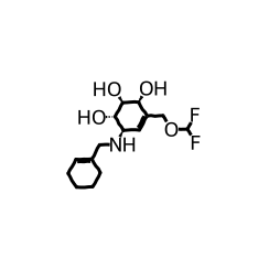 O[C@@H]1[C@@H](O)[C@@H](O)C(COC(F)F)=C[C@H]1NCC1=CCCCC1